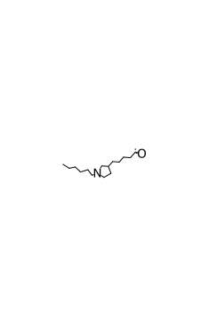 CCCCCCN1CCC(CCCC[C]=O)C1